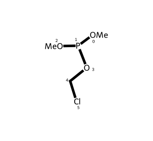 COP(OC)OCCl